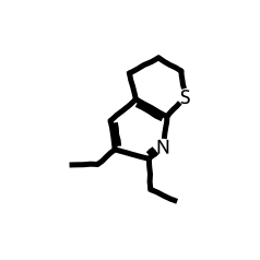 CCc1cc2c(nc1CC)SCCC2